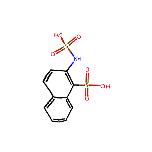 O=S(=O)(O)Nc1ccc2ccccc2c1S(=O)(=O)O